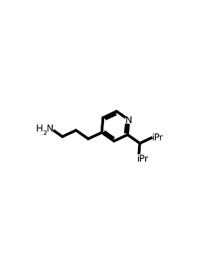 CC(C)C(c1cc(CCCN)ccn1)C(C)C